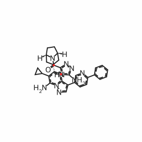 Nc1nnc(C(=O)N2[C@@H]3CC[C@H]2C[C@@H](c2nc4c(-c5ccc(-c6ccccc6)nc5)cnn4c(N)c2C2CC2)C3)[nH]1